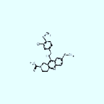 COc1ccc2nc3c(c(NCc4ccc(OC)c(Cl)c4)c2c1)CN(C(C)=O)CC3